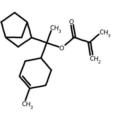 C=C(C)C(=O)OC(C)(C1CC=C(C)CC1)C1CC2CCC1C2